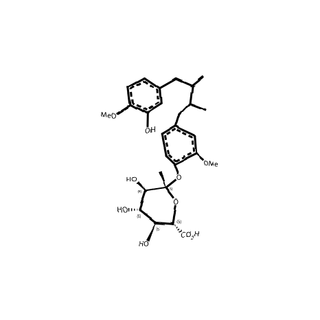 COc1ccc(CC(C)C(C)Cc2ccc(O[C@]3(C)O[C@H](C(=O)O)[C@@H](O)[C@H](O)[C@H]3O)c(OC)c2)cc1O